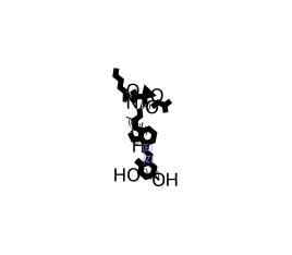 C=C1/C(=C\C=C2/CCC[C@]3(C)[C@@H]([C@H](C)CC[C@@H](OC(=O)C(C)C)C4(c5ncc(CCCC)o5)CC4)CC[C@@H]23)C[C@@H](O)C[C@@H]1O